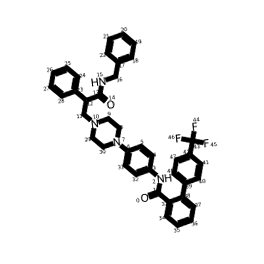 O=C(Nc1ccc(N2CCN(CC(C(=O)NCc3ccccc3)c3ccccc3)CC2)cc1)c1ccccc1-c1ccc(C(F)(F)F)cc1